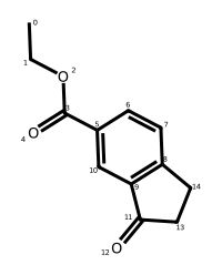 CCOC(=O)c1ccc2c(c1)C(=O)CC2